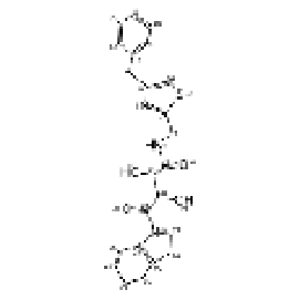 O=C(NCc1nc(Cc2ccccc2)cs1)[C@H](O)[C@@H](O)C(=O)N1CCC2=C1C=CCC2